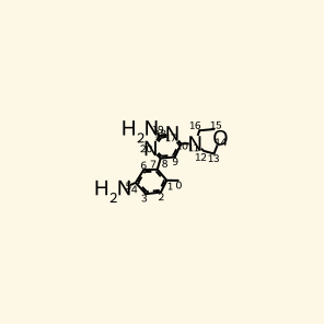 Cc1ccc(N)cc1-c1cc(N2CCOCC2)nc(N)n1